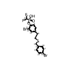 O=P(O)(Oc1ccc(CCSCc2ccc(Br)cc2)cc1Br)C(F)F